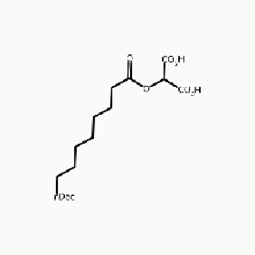 CCCCCCCCCCCCCCCCCC(=O)OC(C(=O)O)C(=O)O